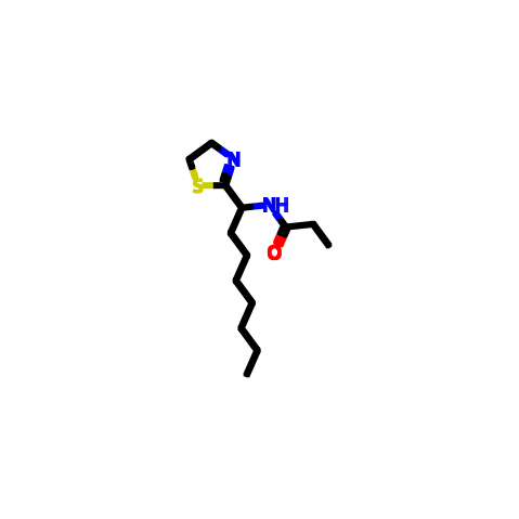 CCCCCCCC(NC(=O)CC)C1=NCCS1